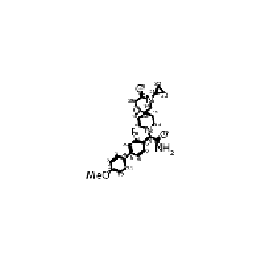 COc1ccc(-c2ccc(C(C(N)=O)N3CCC4(CC3)CN(C3CC3)C(=O)CO4)c(F)c2)cc1